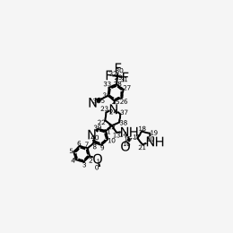 COc1ccccc1-c1ccc(C2(CNC(=O)[C@@H]3CCNC3)CCN(c3ccc(C(F)(F)F)cc3C#N)CC2)cn1